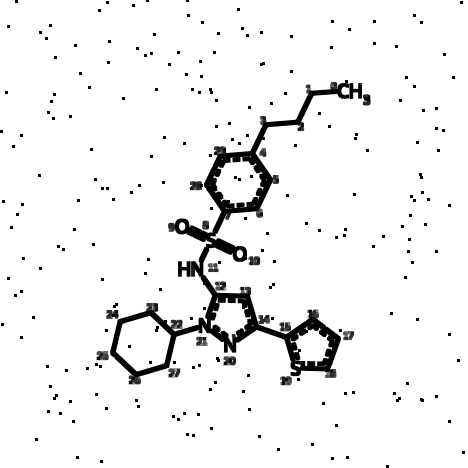 CCCCc1ccc(S(=O)(=O)Nc2cc(-c3cccs3)nn2C2CCCCC2)cc1